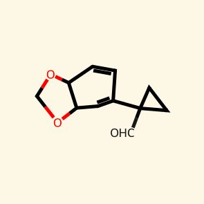 O=CC1(C2=CC3OCOC3C=C2)CC1